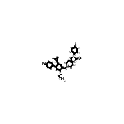 CCOc1cc(-c2ccc(F)cc2)c(C2CC2)cc1CN1CCC2(CC1)CN(c1ccc(I)cc1)C(=O)O2